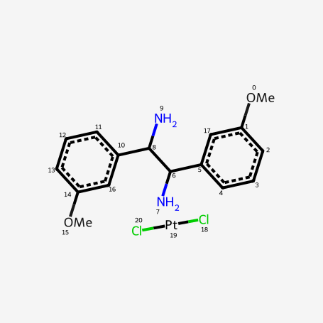 COc1cccc(C(N)C(N)c2cccc(OC)c2)c1.[Cl][Pt][Cl]